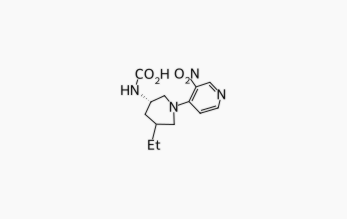 CCC1C[C@H](NC(=O)O)CN(c2ccncc2[N+](=O)[O-])C1